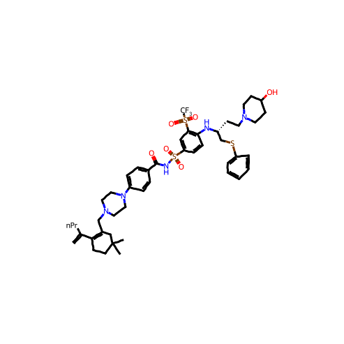 C=C(CCC)C1=C(CN2CCN(c3ccc(C(=O)NS(=O)(=O)c4ccc(N[C@H](CCN5CCC(O)CC5)CSc5ccccc5)c(S(=O)(=O)C(F)(F)F)c4)cc3)CC2)CC(C)(C)CC1